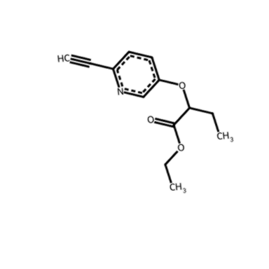 C#Cc1ccc(OC(CC)C(=O)OCC)cn1